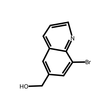 OCc1cc(Br)c2ncccc2c1